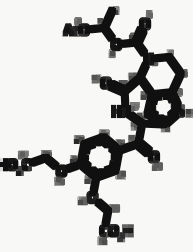 CC(=O)OC(C)OC(=O)N1CCc2sc3cc2C1C(=O)NC3C(=O)c1ccc(OCC(=O)O)c(OCC(=O)O)c1